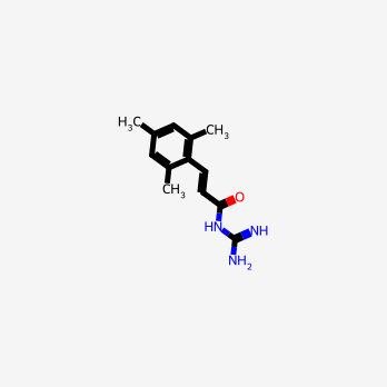 Cc1cc(C)c(/C=C/C(=O)NC(=N)N)c(C)c1